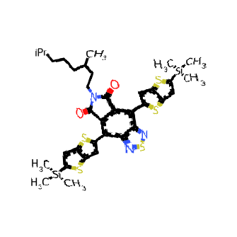 CC(C)CCCC(C)CCN1C(=O)c2c(c(-c3cc4sc([Si](C)(C)C)cc4s3)c3nsnc3c2-c2cc3sc([Si](C)(C)C)cc3s2)C1=O